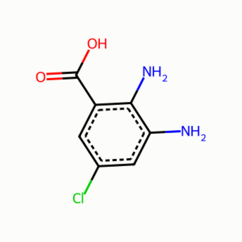 Nc1cc(Cl)cc(C(=O)O)c1N